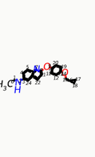 CCNc1ccc2nc(Oc3ccc(OCC4CC4)cc3)ccc2c1